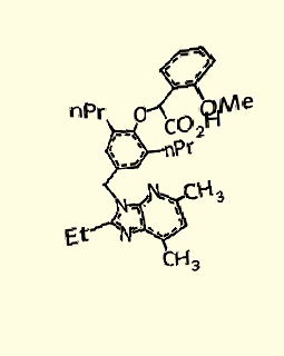 CCCc1cc(Cn2c(CC)nc3c(C)cc(C)nc32)cc(CCC)c1OC(C(=O)O)c1ccccc1OC